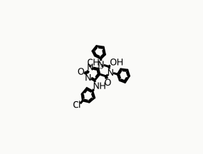 Cn1c2c(c(Nc3ccc(Cl)cc3)nc1=O)C(=O)N(c1ccccc1)C(O)N2c1ccccc1